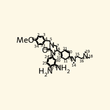 COc1ccc(CN2CC(C3=CCC(N(C)CCN(C)C)C=C3)N(c3ccc(N)c(N)c3)C2=O)cc1